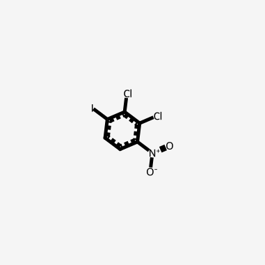 O=[N+]([O-])c1ccc(I)c(Cl)c1Cl